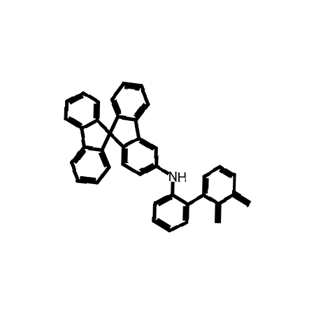 C=c1cccc(-c2ccccc2Nc2ccc3c(c2)-c2ccccc2C32c3ccccc3-c3ccccc32)c1=C